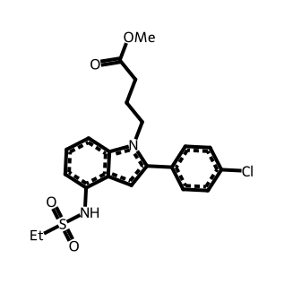 CCS(=O)(=O)Nc1cccc2c1cc(-c1ccc(Cl)cc1)n2CCCC(=O)OC